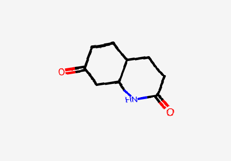 O=C1CCC2CCC(=O)NC2C1